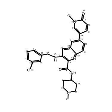 CN1CCC(NC(=O)c2nc3ccc(-c4ccc(=O)n(C)c4)cc3cc2NCc2cccc(Cl)c2)CC1